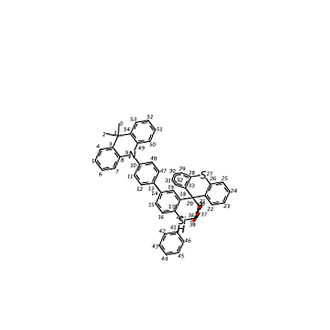 CC1(C)c2ccccc2N(c2ccc(-c3ccc4c(c3)C3(c5ccccc5Sc5ccccc53)c3ccccc3[SiH]4c3ccccc3)cc2)c2ccccc21